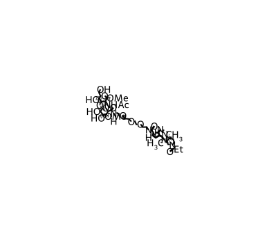 CCC(=O)N1CC[C@@H](C)[C@@H](N(C)c2ncnc3c2ccn3C(=O)NCCOCCOCCOCCNC(=O)C2O[C@@H](O[C@@H]3C(NC(C)=O)[C@H](OC)OC(CO)[C@H]3O)C(O)[C@@H](O)[C@@H]2OC)C1